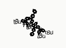 Cc1cc(N(c2ccc(-c3ccccc3)cc2)c2cccc(-n3c4ccc(C(C)(C)C)cc4c4cc(C(C)(C)C)ccc43)c2)ccc1-c1c(C)cc(N(c2ccc(-c3ccccc3)cc2)c2cccc(-n3c4ccc(C(C)(C)C)cc4c4cc(C(C)(C)C)ccc43)c2)c2ccccc12